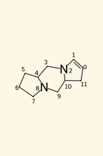 C1=CN2CC3CCCN3CC2C1